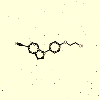 N#Cc1ccc2c(ccn2-c2ccc(OCCO)cc2)c1